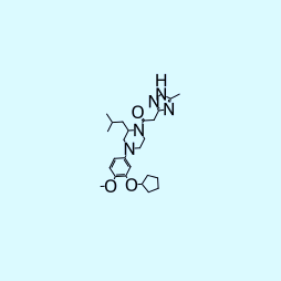 COc1ccc(N2CCN(C(=O)Cc3n[nH]c(C)n3)C(CC(C)C)C2)cc1OC1CCCC1